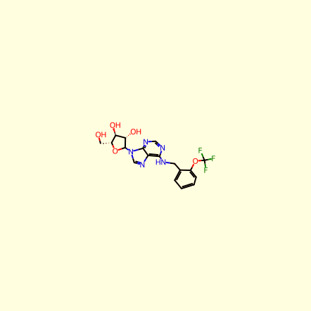 OC[C@H]1OC(n2cnc3c(NCc4ccccc4OC(F)(F)F)ncnc32)[C@@H](O)[C@@H]1O